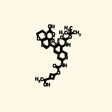 Cc1c(-c2cc3cc(NC(=O)OC4CC(C(C)O)C4)ncc3c(NC(=O)OC(C)(C)C)c2F)cnc2c1N(C(=O)O)CCO2